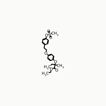 CCOC(=O)C(C)(CC)Oc1ccc(OCCc2ccc(OS(C)(=O)=O)cc2)cc1